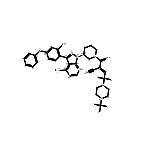 CC(C)(C)N1CCN(C(C)(C)C=C(C#N)C(=O)N2CCC[C@H](n3nc(-c4ccc(Oc5ccccc5)cc4F)c4c(N)ncnc43)C2)CC1